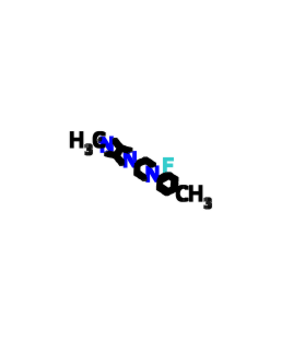 Cc1ccc(N2CCC(N3CC4CN(C)CC4C3)CC2)c(F)c1